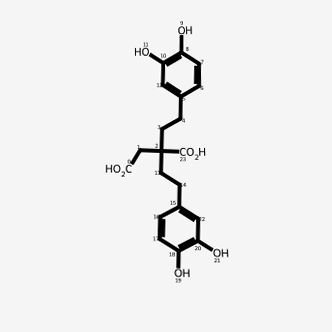 O=C(O)CC(CCc1ccc(O)c(O)c1)(CCc1ccc(O)c(O)c1)C(=O)O